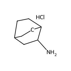 Cl.NC1CC2CCC1CC2